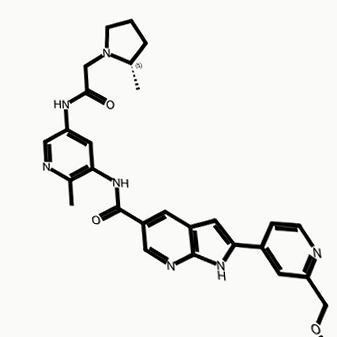 COCc1cc(-c2cc3cc(C(=O)Nc4cc(NC(=O)CN5CCC[C@@H]5C)cnc4C)cnc3[nH]2)ccn1